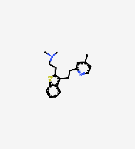 Cc1ccnc(CCc2c(CCN(C)C)sc3ccccc23)c1